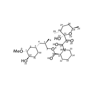 CO[C@@H]1C[C@H](C[C@@H](C)COC(=O)[C@@H]2CCCCN2C(=O)C(=O)[C@]2(O)O[C@H](C)CC[C@H]2C)CC[C@H]1O